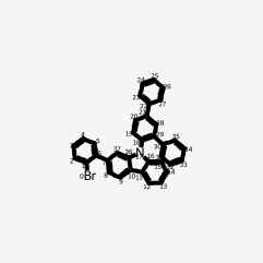 Brc1ccccc1-c1ccc2c3ccccc3n(-c3ccc(-c4ccccc4)cc3-c3ccccc3)c2c1